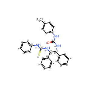 O=C(Nc1ccc(C(F)(F)F)cc1)N[C@H](c1ccccc1)[C@H](NC(=S)Nc1ccccc1)c1ccccc1